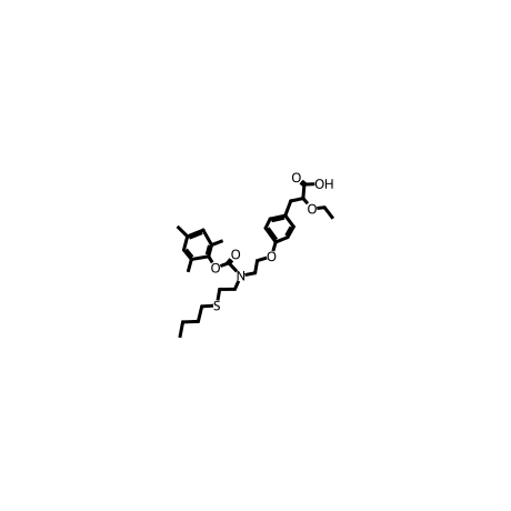 CCCCSCCN(CCOc1ccc(CC(OCC)C(=O)O)cc1)C(=O)Oc1c(C)cc(C)cc1C